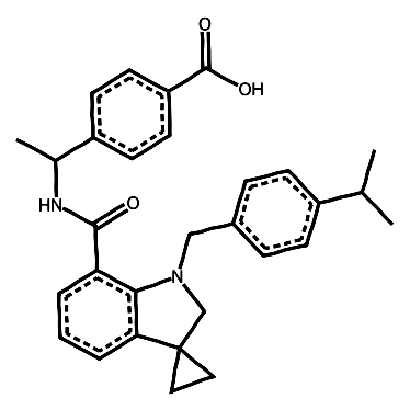 CC(C)c1ccc(CN2CC3(CC3)c3cccc(C(=O)NC(C)c4ccc(C(=O)O)cc4)c32)cc1